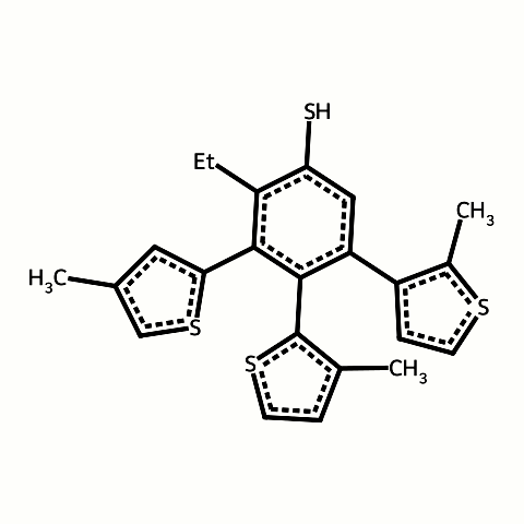 CCc1c(S)cc(-c2ccsc2C)c(-c2sccc2C)c1-c1cc(C)cs1